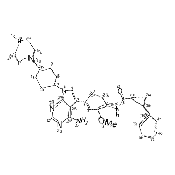 COc1cc(-c2cn(C3CCC(N4CCN(C)CC4)CC3)c3ncnc(N)c23)ccc1NC(=O)C1CC1c1ccccc1